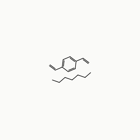 C=Cc1ccc(C=C)cc1.CCCCCCC